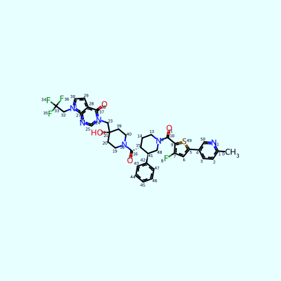 Cc1ccc(-c2cc(F)c(C(=O)N3CC[C@@H](C(=O)N4CCC(O)(Cn5cnc6c(ccn6CC(F)(F)F)c5=O)CC4)[C@H](c4ccccc4)C3)s2)cn1